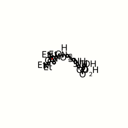 CCN(CC)c1ccc2c(c1)OC1=CC(N(CC)CC)C=CC1=C2c1ccccc1C(=O)N1CCN(C(=O)CCC(=O)Nc2ccc(SSc3ccc(NC(=S)Nc4ccc(C(=O)O)c(-c5c6ccc(=O)cc-6oc6cc(O)ccc56)c4)cc3)cc2)CC1